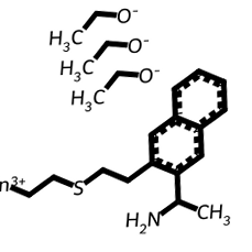 CC(N)c1cc2ccccc2cc1CCSC[CH2][Sn+3].CC[O-].CC[O-].CC[O-]